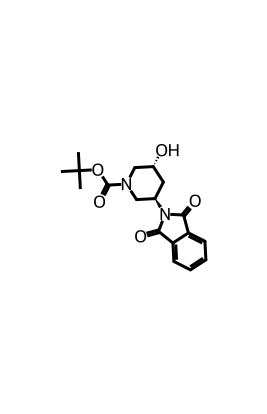 CC(C)(C)OC(=O)N1C[C@H](O)C[C@@H](N2C(=O)c3ccccc3C2=O)C1